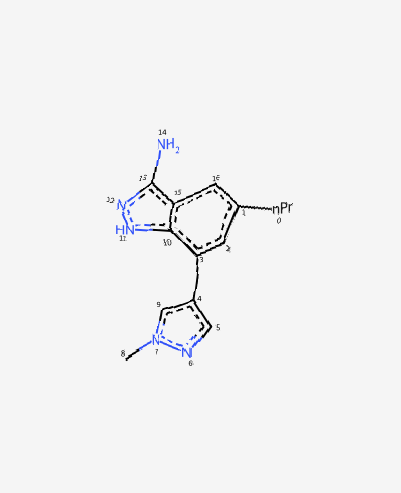 CCCc1cc(-c2cnn(C)c2)c2[nH]nc(N)c2c1